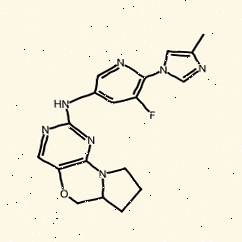 Cc1cn(-c2ncc(Nc3ncc4c(n3)N3CCCC3CO4)cc2F)cn1